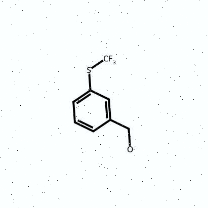 [O]Cc1cccc(SC(F)(F)F)c1